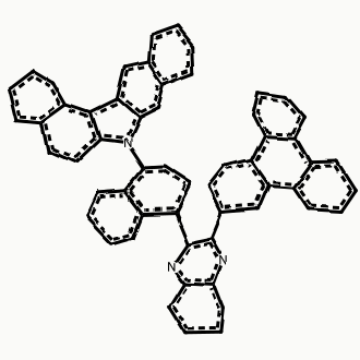 c1ccc2cc3c(cc2c1)c1c2ccccc2ccc1n3-c1ccc(-c2nc3ccccc3nc2-c2ccc3c4ccccc4c4ccccc4c3c2)c2ccccc12